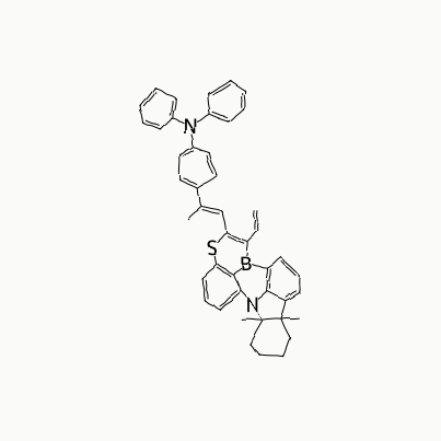 C=CC1=C(/C=C(\C)c2ccc(N(c3ccccc3)c3ccccc3)cc2)Sc2cccc3c2B1c1cccc2c1N3C1(C)CCCCC21C